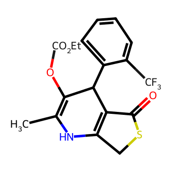 CCOC(=O)OC1=C(C)NC2=C(C(=O)SC2)C1c1ccccc1C(F)(F)F